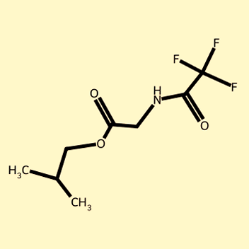 CC(C)COC(=O)CNC(=O)C(F)(F)F